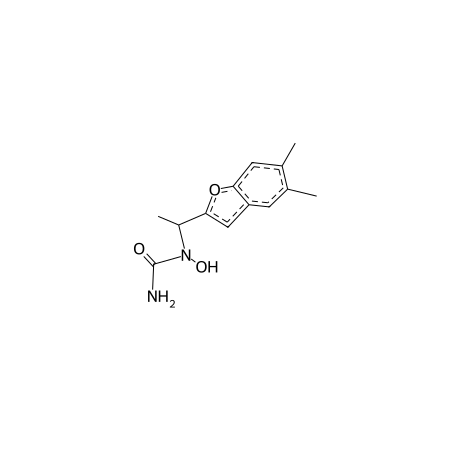 Cc1cc2cc(C(C)N(O)C(N)=O)oc2cc1C